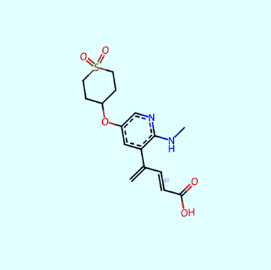 C=C(/C=C/C(=O)O)c1cc(OC2CCS(=O)(=O)CC2)cnc1NC